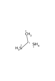 CC[SiH3].[SiH4]